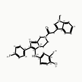 Cn1cc(CC(=O)N2CCn3c(nc(-c4ccc(F)cc4)c3Nc3ccc(Cl)c(F)c3)C2)c2ccccc21